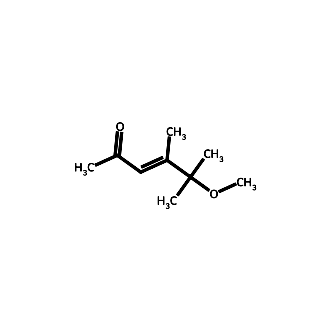 COC(C)(C)C(C)=CC(C)=O